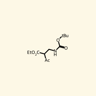 CCOC(=O)C(CNC(=O)OC(C)(C)C)C(C)=O